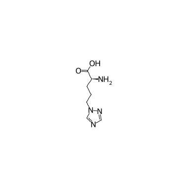 N[C@@H](CCCn1cncn1)C(=O)O